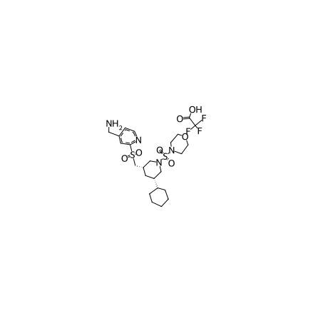 NCc1ccnc(S(=O)(=O)C[C@H]2C[C@@H](C3CCCCC3)CN(S(=O)(=O)N3CCOCC3)C2)c1.O=C(O)C(F)(F)F